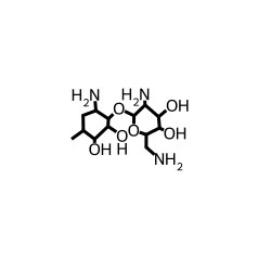 CC1CC(N)C(OC2OC(CN)C(O)C(O)C2N)C(O)C1O